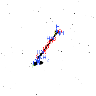 Cc1ccc(Nc2c(-c3ccc(F)cc3)nc3n2CCN(C(=O)[C@@H](N)CCCCNC(=O)CCOCCOCCOCCOCCNC(=O)CCCCC2SCC4NC(=O)NC42)C3)cc1